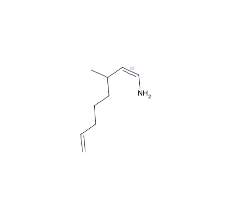 C=CCCCC(C)/C=C\N